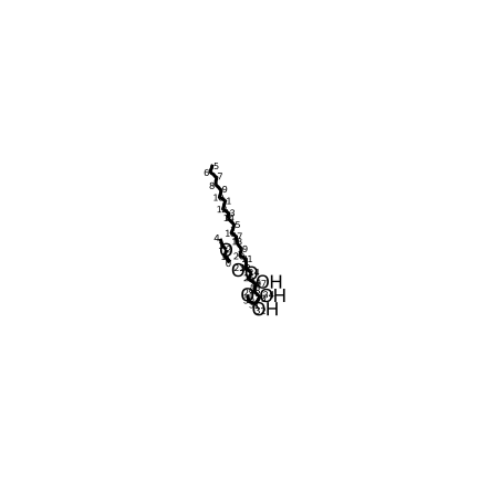 C=COCC.CCCCCCCCCCCCCCCCCC(=O)OC[C@@H](O)[C@H]1OC[C@H](O)[C@H]1O